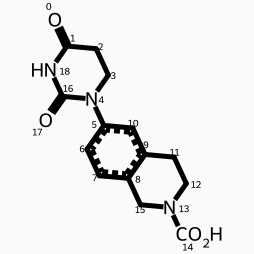 O=C1CCN(c2ccc3c(c2)CCN(C(=O)O)C3)C(=O)N1